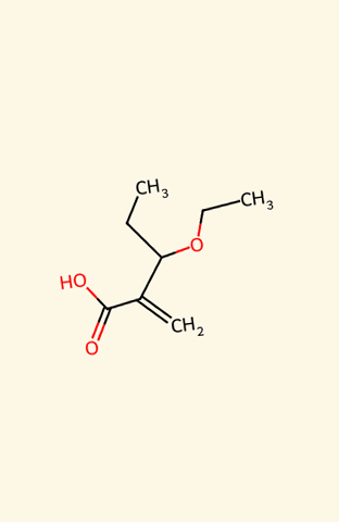 C=C(C(=O)O)C(CC)OCC